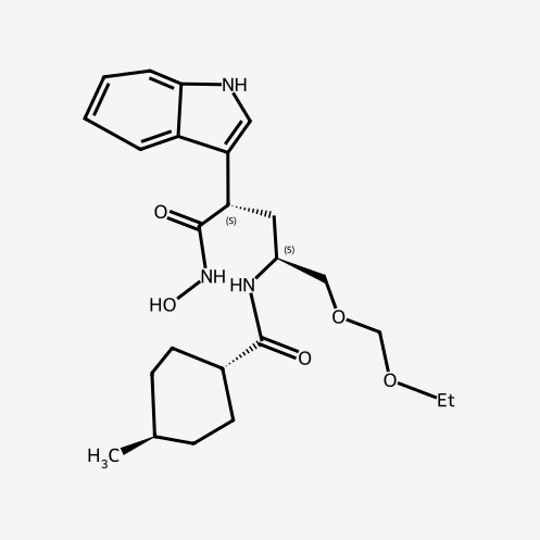 CCOCOC[C@H](C[C@H](C(=O)NO)c1c[nH]c2ccccc12)NC(=O)[C@H]1CC[C@H](C)CC1